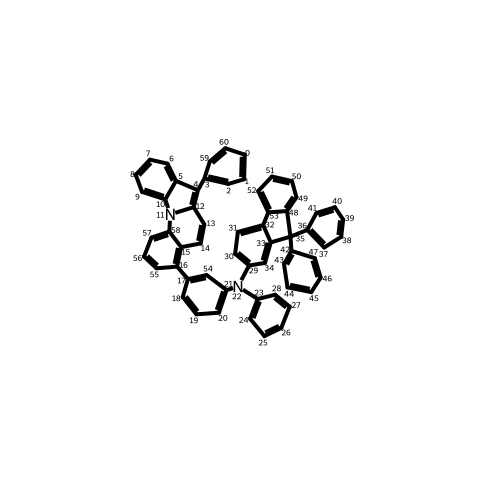 c1ccc(-c2c3ccccc3n3c2ccc2c(-c4cccc(N(c5ccccc5)c5ccc6c(c5)C(c5ccccc5)(c5ccccc5)c5ccccc5-6)c4)cccc23)cc1